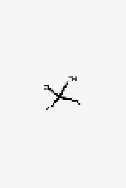 CC(C)C(Cl)(Cl)C#N